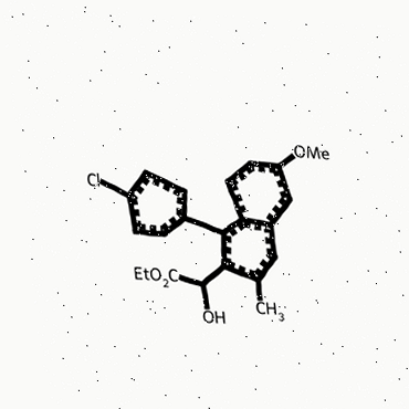 CCOC(=O)C(O)c1c(C)cc2cc(OC)ccc2c1-c1ccc(Cl)cc1